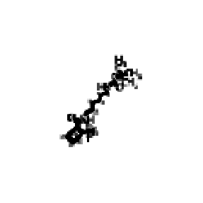 CC(C)(C)OC(=O)NCCCCCCNC(=O)C1=C(C(F)(F)F)C2C=CC1O2